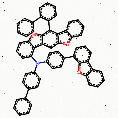 c1ccc(-c2ccc(N(c3ccc(-c4cccc5c4oc4ccccc45)cc3)c3cccc4oc5c(-c6ccccc6-c6ccccc6)c6c(cc5c34)oc3ccccc36)cc2)cc1